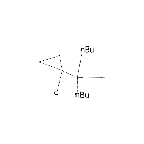 CCCCC(C)(CCCC)C1(F)CC1